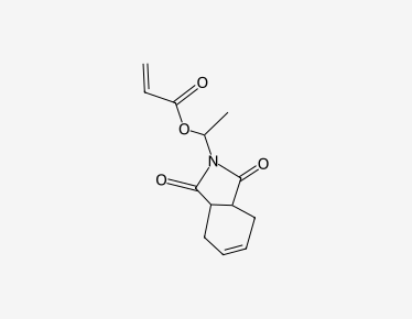 C=CC(=O)OC(C)N1C(=O)C2CC=CCC2C1=O